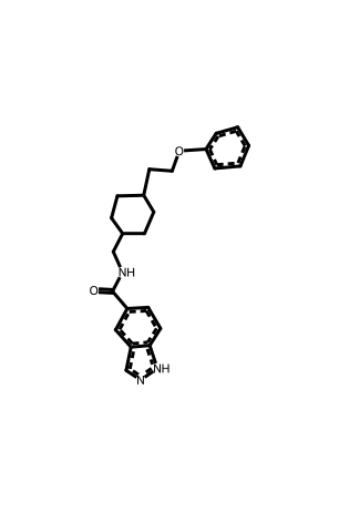 O=C(NCC1CCC(CCOc2ccccc2)CC1)c1ccc2[nH]ncc2c1